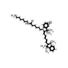 C[N+]1=C(/C=C/C=C/C=C2/N(CCCCCC(=O)NCCCCCCN)c3ccccc3C2(C)C)C(C)(C)c2ccccc21.Cl.[Cl-]